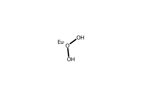 OOO.[Eu]